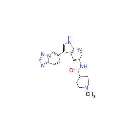 CN1CCC(C(=O)Nc2cnc3[nH]cc(-c4ccc5ncnn5c4)c3c2)CC1